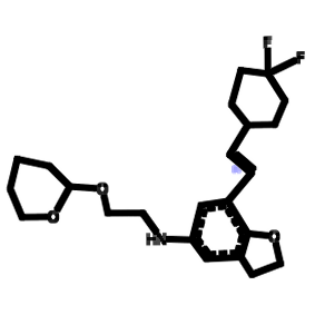 FC1(F)CCC(/C=C/c2cc(NCCOC3CCCCO3)cc3c2OCC3)CC1